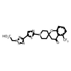 O=C(O)Cn1nnc(-c2cnc(N3CCC4(CC3)CC(=O)c3c(cccc3C(F)(F)F)O4)s2)n1